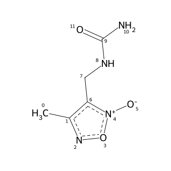 Cc1no[n+]([O-])c1CNC(N)=O